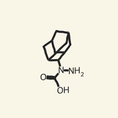 NN(C(=O)O)C1C2CC3CC(C2)CC1C3